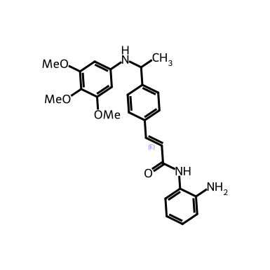 COc1cc(NC(C)c2ccc(/C=C/C(=O)Nc3ccccc3N)cc2)cc(OC)c1OC